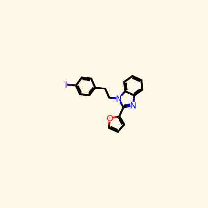 Ic1ccc(CCn2c(-c3ccco3)nc3ccccc32)cc1